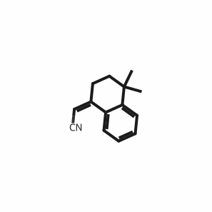 CC1(C)CC/C(=C/C#N)c2ccccc21